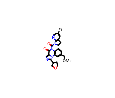 CCc1cnc2c(c1)CCN2C(=O)n1c(=O)c2cnc(C3CCOC3)n2c2cc(COC)ccc21